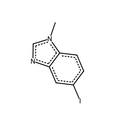 Cn1cnc2cc(I)ccc21